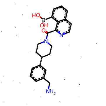 NCc1cccc(C2CCN(C(=O)c3nccc4cccc(B(O)O)c34)CC2)c1